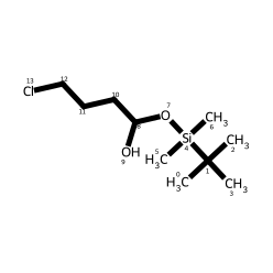 CC(C)(C)[Si](C)(C)OC(O)CCCCl